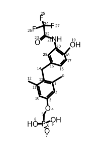 Cc1cc(OCP(=O)(O)O)cc(C)c1Cc1ccc(O)c(NC(=O)C(F)(F)F)c1